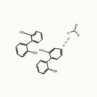 Oc1ccccc1-c1ccccc1O.Oc1ccccc1-c1ccccc1O.[Li+].[Li+].[Li+].[O-]B([O-])[O-]